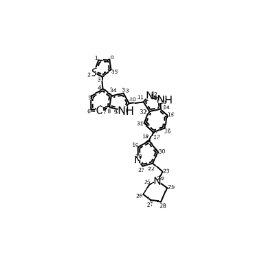 c1csc(-c2cccc3[nH]c(-c4n[nH]c5ccc(-c6cncc(CN7CCCCC7)c6)cc45)cc23)c1